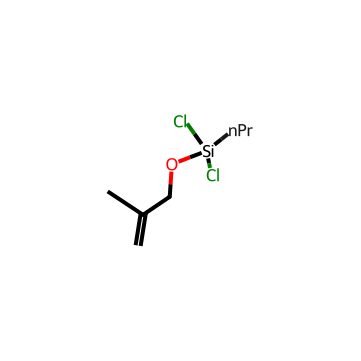 C=C(C)CO[Si](Cl)(Cl)CCC